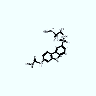 CCNC(=O)Nc1ccc2c(c1)oc1ccc(S(=O)(=O)N[C@@H](C(=O)OC(C)(C)C)C(C)C)cc12